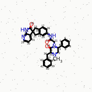 CN1CC(c2ccccc2)N(CC(=O)Nc2ccc3c(c2)CC2(C3)C(=O)Nc3ncccc32)C(=O)C1Cc1ccccc1